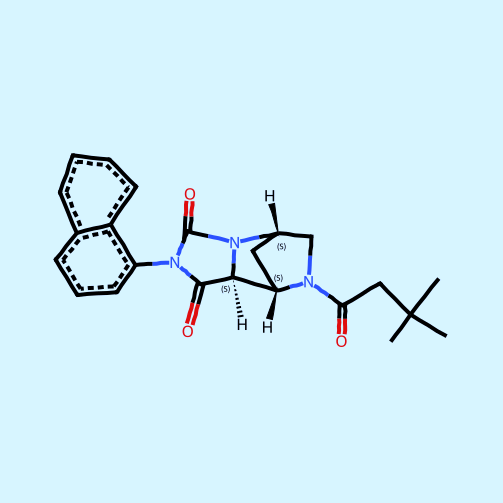 CC(C)(C)CC(=O)N1C[C@@H]2C[C@H]1[C@H]1C(=O)N(c3cccc4ccccc34)C(=O)N21